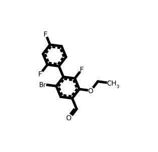 CCOc1c(C=O)cc(Br)c(-c2ccc(F)cc2F)c1F